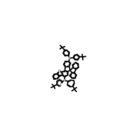 CC(C)(C)C1=CCC=C(N(c2ccc(C(C)(C)C)cc2)c2cc3c(c4oc5ccccc5c24)-c2ccc(N(c4ccc(C(C)(C)C)cc4)c4ccc(C(C)(C)C)cc4)cc2C32c3ccccc3-c3ccccc32)C=C1